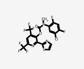 CN(C(=O)Oc1c(C(F)(F)F)cc(C(F)(F)F)nc1-c1nccs1)c1cc(Cl)c(F)cc1F